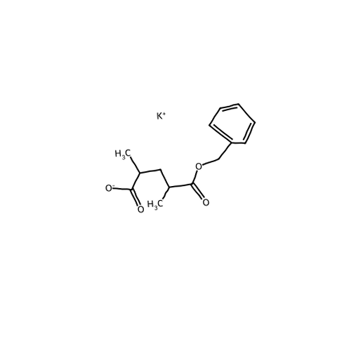 CC(CC(C)C(=O)OCc1ccccc1)C(=O)[O-].[K+]